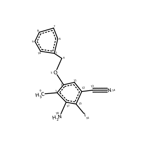 Cc1c(OCc2ccccc2)cc(C#N)c(I)c1N